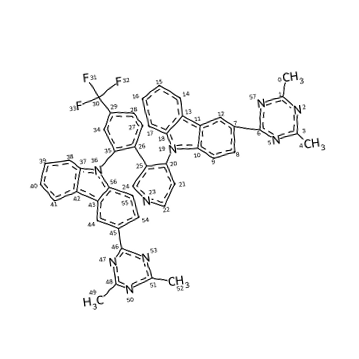 Cc1nc(C)nc(-c2ccc3c(c2)c2ccccc2n3-c2ccncc2-c2ccc(C(F)(F)F)cc2-n2c3ccccc3c3cc(-c4nc(C)nc(C)n4)ccc32)n1